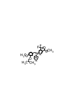 COC(=O)c1cnc(N(Cc2ccc(OC)c(OCC(C)C)c2)C2CCNCC2)cc1C(F)(F)F